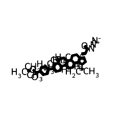 C=C(C)[C@@H]1CC[C@]2(/C=C/C(=O)N=[N+]=[N-])CC[C@]3(C)[C@H](CC[C@@H]4[C@@]5(C)CC=C(c6ccc(C(=O)OC(C)(C)C)cc6)C(C)(C)[C@@H]5CC[C@]43C)[C@@H]12